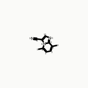 Cc1ccc(C)n2c(C#N)cnc12